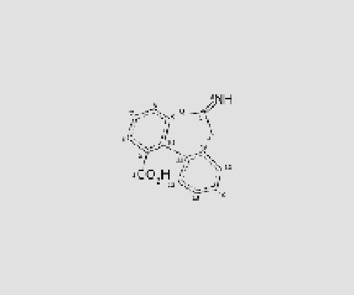 CC(C)=N.O=C(O)c1ccccc1-c1ccccc1